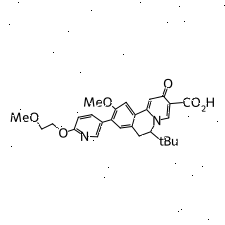 COCCOc1ccc(-c2cc3c(cc2OC)-c2cc(=O)c(C(=O)O)cn2C(C(C)(C)C)C3)cn1